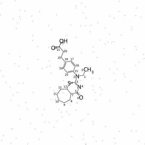 CCN(C1=NC(=O)C2CCCCCC2S1)c1ccc(CCC(=O)O)cc1